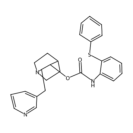 O=C(Nc1ccccc1Sc1ccccc1)OC1C2CCN(CC2)C1Cc1cccnc1